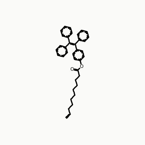 C=CCCCCCCCCC(=O)Oc1ccc(C(=C(c2ccccc2)c2ccccc2)c2ccccc2)cc1